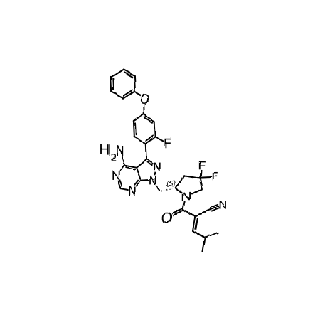 CC(C)C=C(C#N)C(=O)N1CC(F)(F)C[C@H]1Cn1nc(-c2ccc(Oc3ccccc3)cc2F)c2c(N)ncnc21